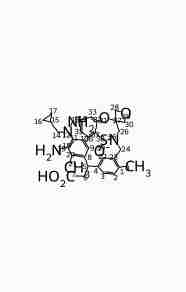 Cc1ccc(C(CC(=O)O)c2ccc(N(N)CC3CC3)c(N)c2C)cc1CN1CC2(COC2)Oc2ccccc2[S+]1[O-]